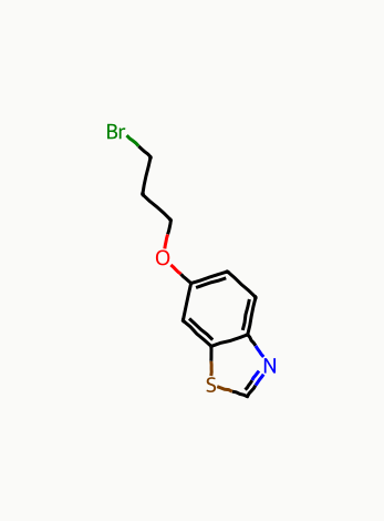 BrCCCOc1ccc2ncsc2c1